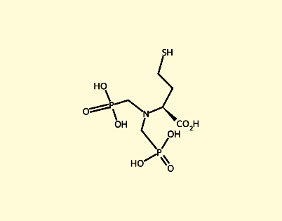 O=C(O)[C@H](CCS)N(CP(=O)(O)O)CP(=O)(O)O